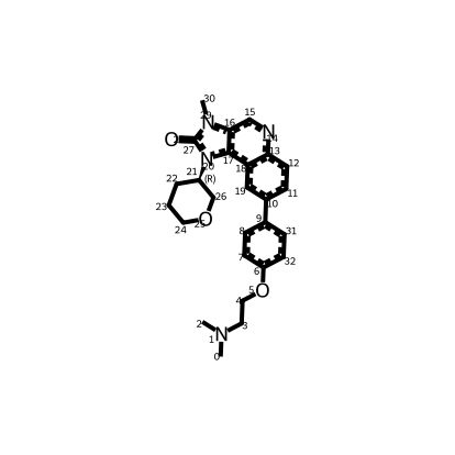 CN(C)CCOc1ccc(-c2ccc3ncc4c(c3c2)n([C@@H]2CCCOC2)c(=O)n4C)cc1